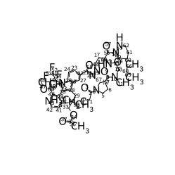 C=CC(=O)N1CC[C@H](C(=O)N(C)[C@H](C(=O)N[C@@H](Cc2nnc(-c3ccc4c(c3)c(CC(C)(C)COC(C)=O)c(-c3cccnc3[C@H](C)OC)n4CC(F)(F)F)o2)C(=O)N2CCCCN2)C(C)C)C1